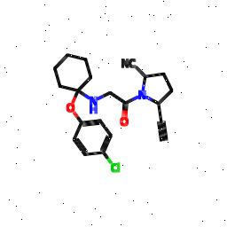 C#CC1CCC(C#N)N1C(=O)CNC1(Oc2ccc(Cl)cc2)CCCCC1